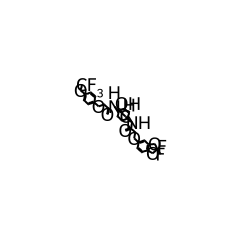 O=C(COc1ccc2c(c1)OC(F)(F)O2)NC12CCC(NC(=O)COc3ccc(OC(F)(F)F)cc3)(CC1)[C@@H](O)C2